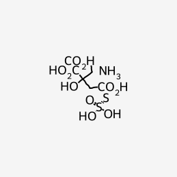 N.O=C(O)CC(O)(CC(=O)O)C(=O)O.O=S(O)(O)=S